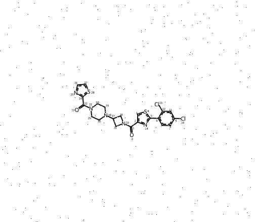 O=C(c1csc(-c2ccc(Cl)cc2Cl)n1)N1CC(N2CCN(C(=O)c3nccs3)CC2)C1